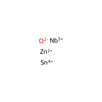 [Nb+5].[O-2].[Sn+4].[Zn+2]